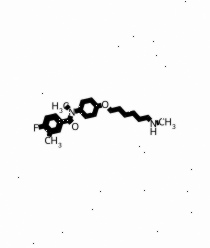 CNCCCCCCOC1CCC(N(C)C(=O)c2ccc(F)c(C)c2)CC1